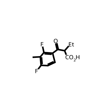 CCC(C(=O)O)C(=O)c1ccc(F)c(C)c1F